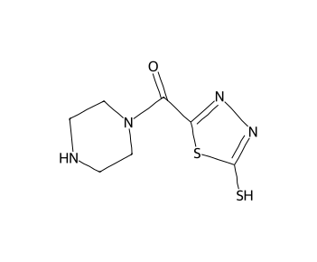 O=C(c1nnc(S)s1)N1CCNCC1